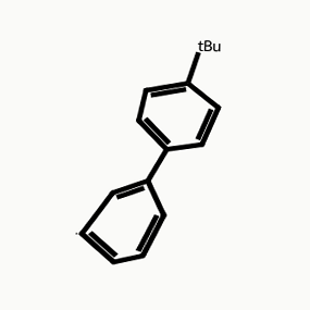 CC(C)(C)c1ccc(-c2c[c]ccc2)cc1